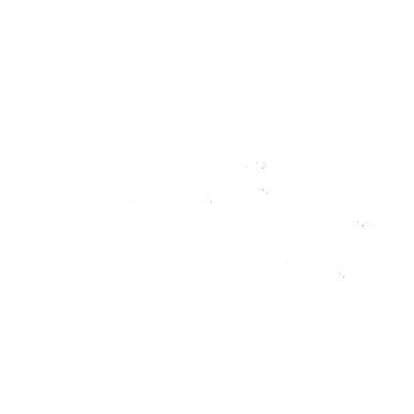 C=C(C/C=C\C=C/CC)C1=CN(c2ccnc3[nH]ccc23)NC1